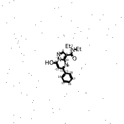 CCN(CC)C(=O)c1cnn2c(O)cc(-c3ccccc3)nc12